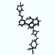 CC1(C)CC[C@H](COc2cccc(-c3cn([C@H]4C[C@@H](CN5CCC(F)(F)CC5)C4)c4ncnc(N)c34)c2)O1